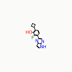 Oc1c(C2CCC2)ccc(-c2cnc3[nH]ccc3n2)c1F